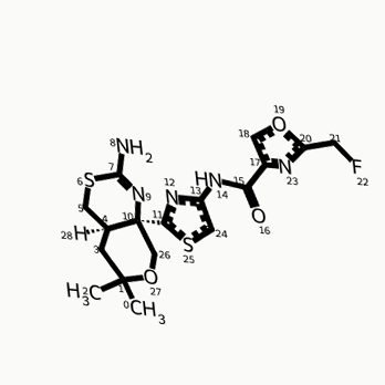 CC1(C)C[C@H]2CSC(N)=N[C@@]2(c2nc(NC(=O)c3coc(CF)n3)cs2)CO1